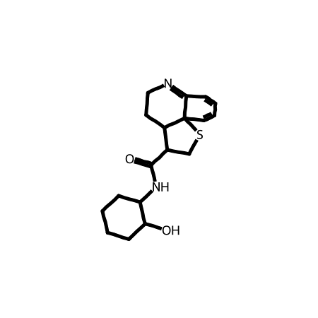 O=C(NC1CCCCC1O)C1CSC23C=CC=CC2=NCCC13